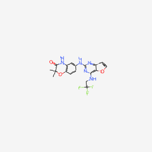 CC1(C)Oc2ccc(Nc3nc(NCC(F)(F)F)c4occc4n3)cc2NC1=O